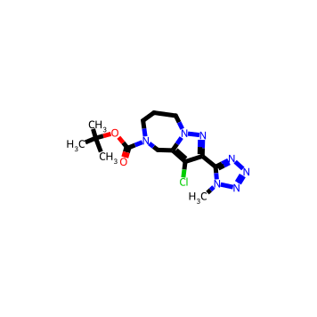 Cn1nnnc1-c1nn2c(c1Cl)CN(C(=O)OC(C)(C)C)CCC2